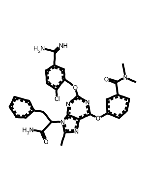 Cc1nc2c(Oc3cccc(C(=O)N(C)C)c3)nc(Oc3cc(C(=N)N)ccc3Cl)nc2n1C(Cc1ccccc1)C(N)=O